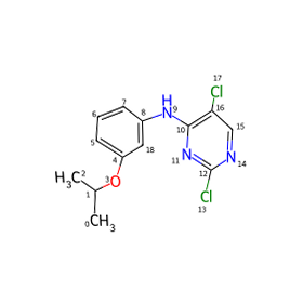 CC(C)Oc1cccc(Nc2nc(Cl)ncc2Cl)c1